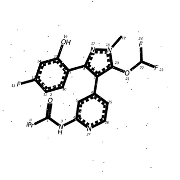 CC(C)C(=O)Nc1cc(-c2c(-c3ccc(F)cc3O)nn(C)c2OC(F)F)ccn1